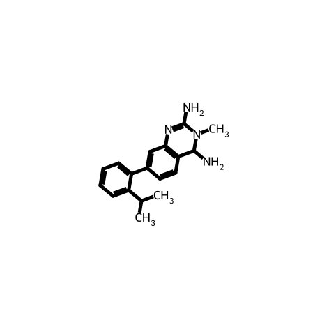 CC(C)c1ccccc1-c1ccc2c(c1)N=C(N)N(C)C2N